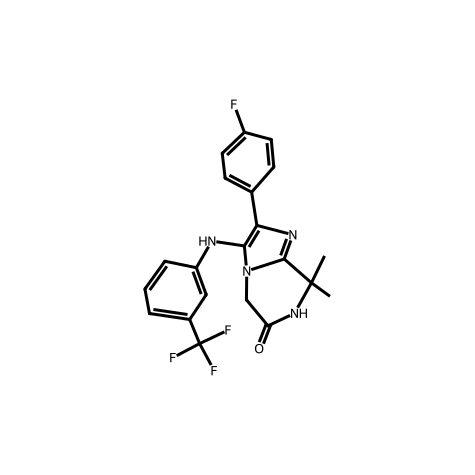 CC1(C)NC(=O)Cn2c1nc(-c1ccc(F)cc1)c2Nc1cccc(C(F)(F)F)c1